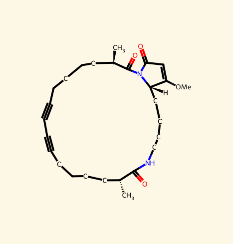 COC1=CC(=O)N2C(=O)[C@H](C)CCCCC#CC#CCCCC[C@@H](C)C(=O)NCCCC[C@@H]12